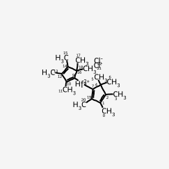 CC1=C(C)C(C)(C)[C]([Hf+2][C]2=C(C)C(C)=C(C)C2(C)C)=C1C.[Cl-].[Cl-]